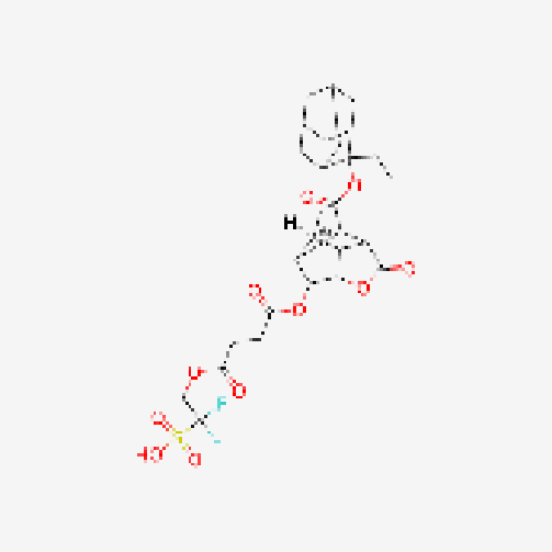 CCC1(OC(=O)C2C3C(=O)OC4C(OC(=O)CCC(=O)OC(C)C(F)(F)S(=O)(=O)O)C2[C@@H](C)C43)C2CC3CC(C2)CC1C3